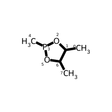 CC1OP(C)OC1C